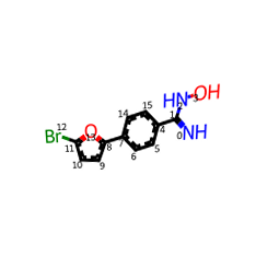 N=C(NO)c1ccc(-c2ccc(Br)o2)cc1